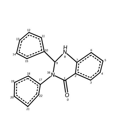 O=C1c2ccccc2NC(c2ccccc2)N1c1ccccc1